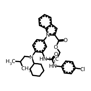 CCOC(=O)c1cc2ccccc2n1-c1ccc(N(CC(C)C)C2CCCCC2)c(NC(=O)Nc2ccc(Cl)cc2)c1